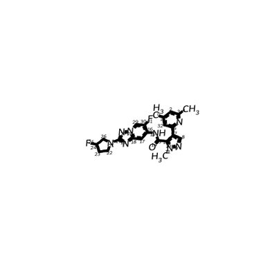 Cc1cc(C)nc(-c2cnn(C)c2C(=O)Nc2cc3nc(N4CCC(F)C4)nn3cc2F)c1